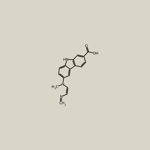 C=N/C=C\N(C)c1ccc2[nH]c3cc(C(=O)O)ccc3c2c1